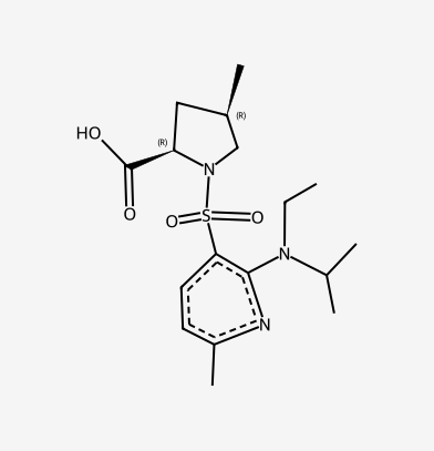 CCN(c1nc(C)ccc1S(=O)(=O)N1C[C@H](C)C[C@@H]1C(=O)O)C(C)C